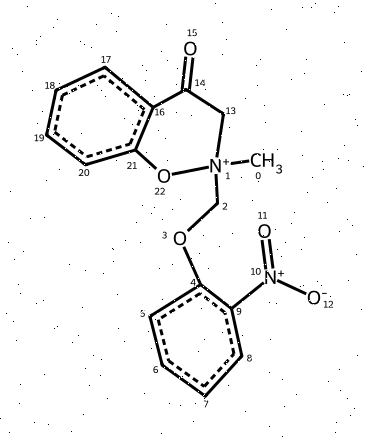 C[N+]1(COc2ccccc2[N+](=O)[O-])CC(=O)c2ccccc2O1